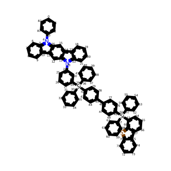 c1ccc(-n2c3ccccc3c3cc4c(cc32)c2ccccc2n4-c2cccc([Si](c3ccccc3)(c3ccccc3)c3ccc(-c4ccc([Si](c5ccccc5)(c5ccccc5)c5cccc6c5sc5ccccc56)cc4)cc3)c2)cc1